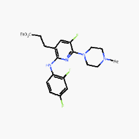 CCOC(=O)CCc1cc(F)c(N2CCN(C(C)=O)CC2)nc1Nc1ccc(F)cc1F